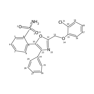 NS(=O)(=O)c1ccccc1-c1oc(COc2ccccc2Cl)nc1-c1ccccc1